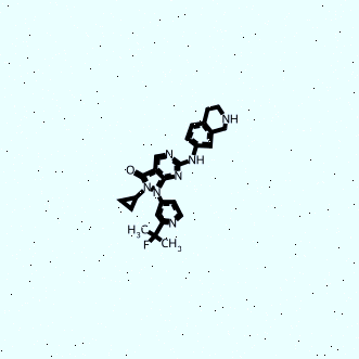 CC(C)(F)c1cc(-n2c3nc(Nc4ccc5c(c4)CNCC5)ncc3c(=O)n2C2CC2)ccn1